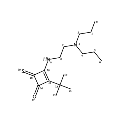 CCCN(CCC)CCNc1c(C(C)(C)C)c(=O)c1=S